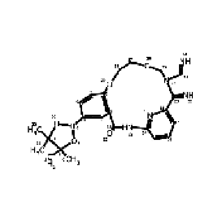 CC1(C)OB(c2ccc3c(c2)C(=O)Nc2cccc(n2)C(=N)N(C=N)CCCCO3)OC1(C)C